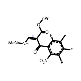 CCCOC(=O)/C(=C/NNC)C(=O)c1c(F)c(C)c(F)c(F)c1[N+](=O)[O-]